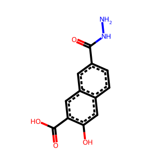 NNC(=O)c1ccc2cc(O)c(C(=O)O)cc2c1